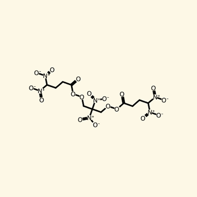 O=C(CCC([N+](=O)[O-])[N+](=O)[O-])OOCC(COOC(=O)CCC([N+](=O)[O-])[N+](=O)[O-])([N+](=O)[O-])[N+](=O)[O-]